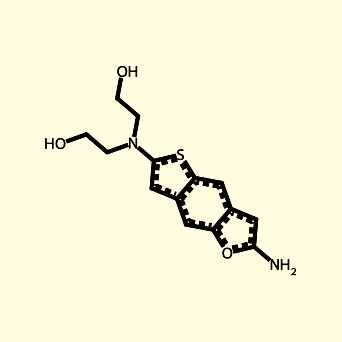 Nc1cc2cc3sc(N(CCO)CCO)cc3cc2o1